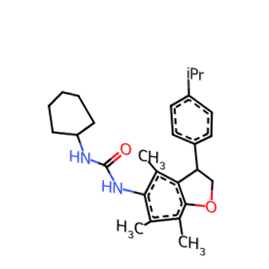 Cc1c(C)c2c(c(C)c1NC(=O)NC1CCCCC1)C(c1ccc(C(C)C)cc1)CO2